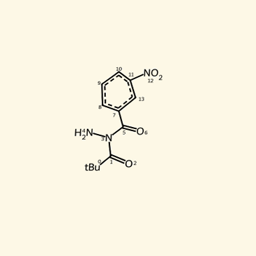 CC(C)(C)C(=O)N(N)C(=O)c1cccc([N+](=O)[O-])c1